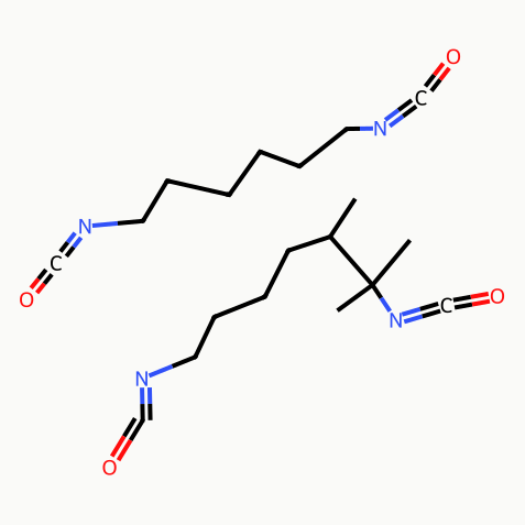 CC(CCCCN=C=O)C(C)(C)N=C=O.O=C=NCCCCCCN=C=O